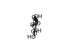 COC(=O)NC(CCCCNC(=O)OCCO)C(=O)N1CCN(C(=O)O)CC1